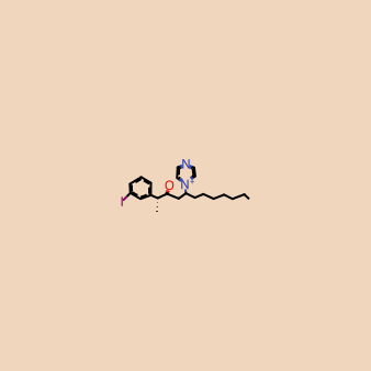 CCCCCCCC(CC(=O)[C@H](C)c1cccc(I)c1)[n+]1ccncc1